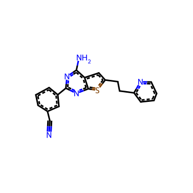 N#Cc1cccc(-c2nc(N)c3cc(CCc4ccccn4)sc3n2)c1